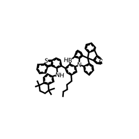 CCCCCc1cc(-c2ccc3sc4ccccc4c3c2Nc2ccc3c(c2)C(C)(C)CCC3(C)C)c2c(c1)N1c3ccccc3C3(c4ccccc4-c4ccccc43)c3cccc(c31)B2